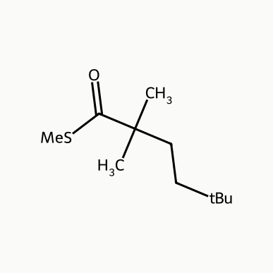 CSC(=O)C(C)(C)CCC(C)(C)C